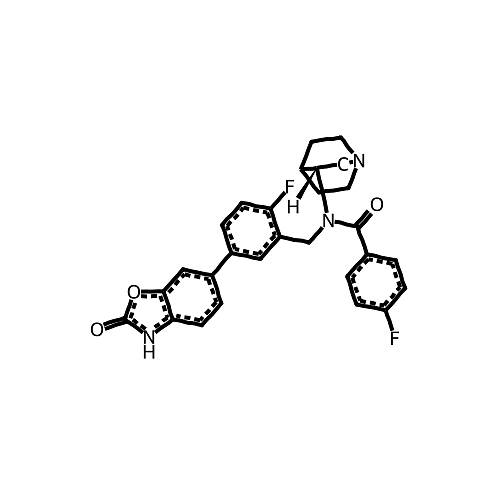 O=C(c1ccc(F)cc1)N(Cc1cc(-c2ccc3[nH]c(=O)oc3c2)ccc1F)[C@H]1CN2CCC1CC2